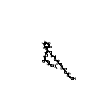 O=C(COCC(OCCOCCOCCOCCO)c1ccccc1)OCC(Cl)(Cl)Cl